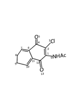 CC(=O)NC1=C(Cl)C(=O)C2=CCCC=C2C1=O